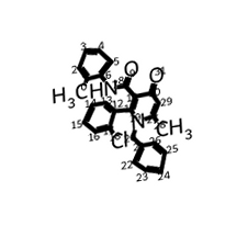 Cc1ccccc1NC(=O)c1c(-c2ccccc2Cl)n(Cc2ccccc2)c(C)cc1=O